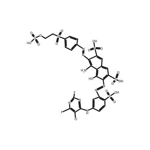 Nc1c(N=Nc2ccc(S(=O)(=O)CCOS(=O)(=O)O)cc2)c(S(=O)(=O)O)cc2cc(S(=O)(=O)O)c(N=Nc3cc(Nc4nc(F)nc(F)c4Cl)ccc3S(=O)(=O)O)c(O)c12